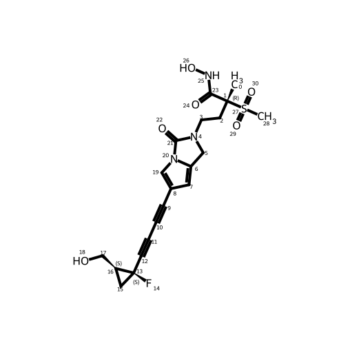 C[C@@](CCN1Cc2cc(C#CC#C[C@]3(F)C[C@H]3CO)cn2C1=O)(C(=O)NO)S(C)(=O)=O